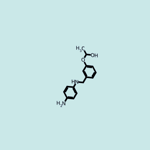 CC(O)Oc1cccc(CNc2ccc(N)cc2)c1